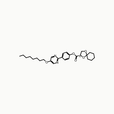 CCCCCCCCOc1cnc(-c2ccc(OC(=O)[C@H]3COC4(CCCCC4)O3)cc2)nc1